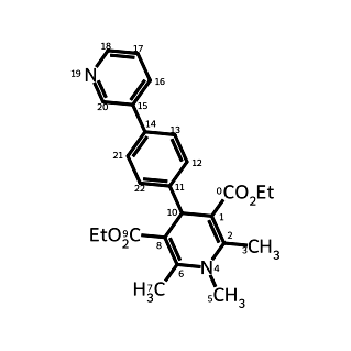 CCOC(=O)C1=C(C)N(C)C(C)=C(C(=O)OCC)C1c1ccc(-c2cccnc2)cc1